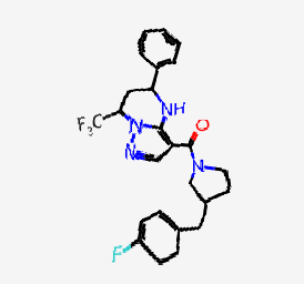 O=C(c1cnn2c1NC(c1ccccc1)CC2C(F)(F)F)N1CCC(CC2=CC=C(F)CC2)C1